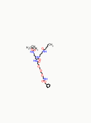 CCCCCC(=O)NCCCCNC(=O)C(CCCCNC(=O)OC(C)(C)C)NC(=O)CCOCCOCCOCCNC(=O)OCc1ccccc1